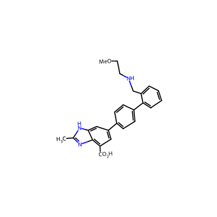 COCCNCc1ccccc1-c1ccc(-c2cc(C(=O)O)c3nc(C)[nH]c3c2)cc1